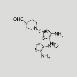 Nc1ccsc1N.Nc1ccsc1N.O=CN1CCN(C=O)CC1